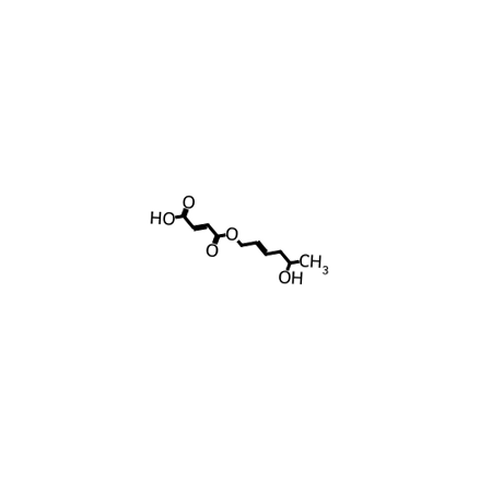 CC(O)CC=CCOC(=O)C=CC(=O)O